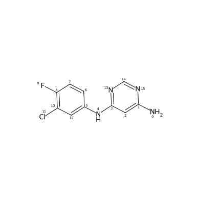 Nc1cc(Nc2ccc(F)c(Cl)c2)ncn1